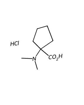 CN(C)C1(C(=O)O)CCCC1.Cl